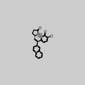 O=C1CC[C@H](/C=C(/c2ccc3ccccc3c2)c2ccc(Cl)c(=O)[nH]2)N1